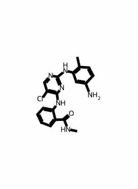 CNC(=O)c1ccccc1Nc1nc(Nc2cc(N)ccc2C)ncc1Cl